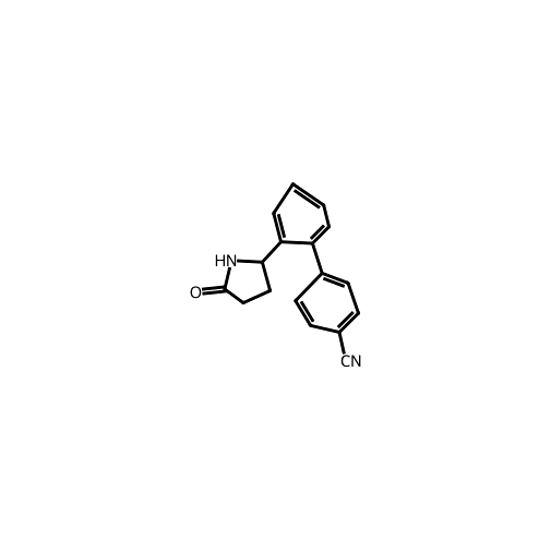 N#Cc1ccc(-c2ccccc2C2CCC(=O)N2)cc1